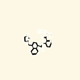 CCCCCNC(=O)c1ncccc1NC(=O)c1ccc(Cn2ccnn2)c2ccccc12